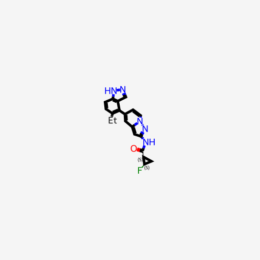 CCc1ccc2[nH]ncc2c1-c1ccn2nc(NC(=O)[C@@H]3C[C@@H]3F)cc2c1